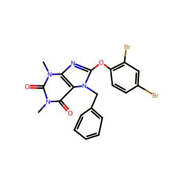 Cn1c(=O)c2c(nc(Oc3ccc(Br)cc3Br)n2Cc2ccccc2)n(C)c1=O